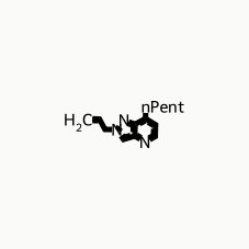 C=CCn1cc2nccc(CCCCC)c2n1